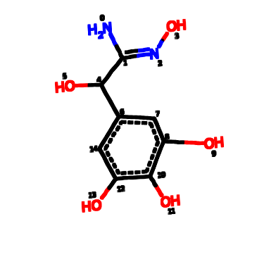 NC(=NO)C(O)c1cc(O)c(O)c(O)c1